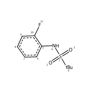 CC(C)(C)S(=O)(=O)Nc1ccccc1F